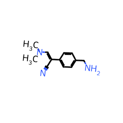 CN(C)C=C(C#N)c1ccc(CN)cc1